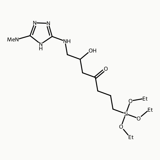 CCO[Si](CCCC(=O)CC(O)CNc1nnc(NC)[nH]1)(OCC)OCC